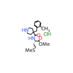 COC(=O)[C@H](CCSC)NC(=O)C1(Cc2ccccc2C)CCNCC1.Cl